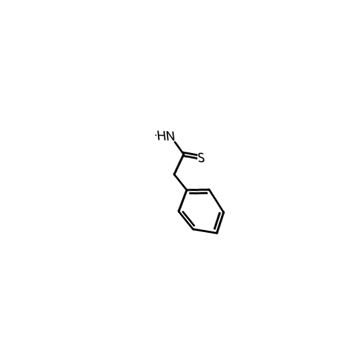 [NH]C(=S)Cc1ccccc1